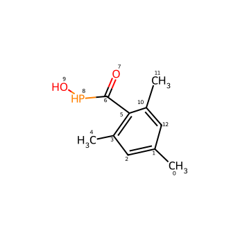 Cc1cc(C)c(C(=O)PO)c(C)c1